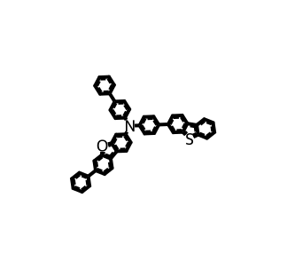 c1ccc(-c2ccc(N(c3ccc(-c4ccc5c(c4)sc4ccccc45)cc3)c3ccc4c(c3)oc3cc(-c5ccccc5)ccc34)cc2)cc1